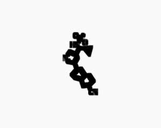 CS(=O)(=O)NC(c1cncc(-c2ccc3cc(C#N)ccc3c2)c1)C1CC1